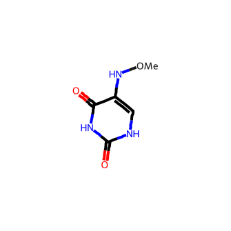 CONc1c[nH]c(=O)[nH]c1=O